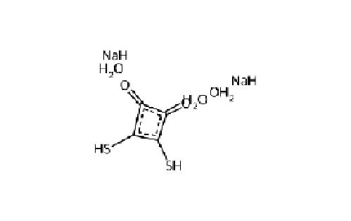 O.O.O.O=c1c(S)c(S)c1=O.[NaH].[NaH]